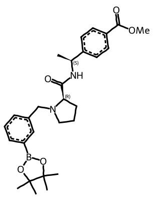 COC(=O)c1ccc([C@H](C)NC(=O)[C@H]2CCCN2Cc2cccc(B3OC(C)(C)C(C)(C)O3)c2)cc1